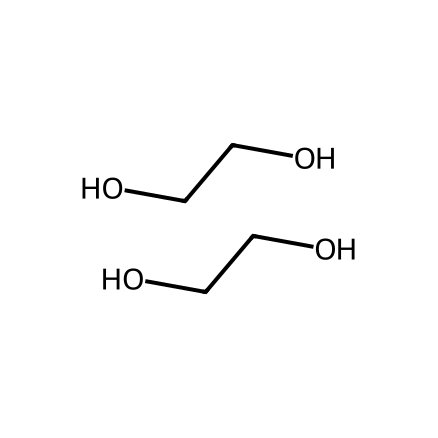 OCCO.OCCO